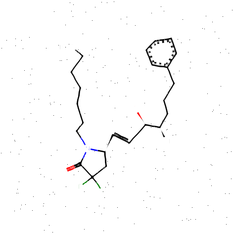 C[C@H](CCCc1ccccc1)[C@H](O)/C=C/[C@H]1CC(F)(F)C(=O)N1CCCCCCC(=O)O